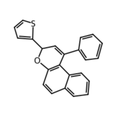 C1=C(c2ccccc2)c2c(ccc3ccccc23)OC1c1cccs1